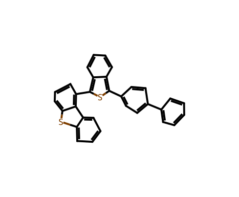 c1ccc(-c2ccc(-c3sc(-c4cccc5sc6ccccc6c45)c4ccccc34)cc2)cc1